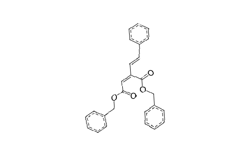 O=C(C=C(C=Cc1ccccc1)C(=O)OCc1ccccc1)OCc1ccccc1